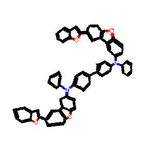 c1ccc(N(c2ccc(-c3ccc(N(c4ccccc4)c4ccc5oc6ccc(-c7cc8ccccc8o7)cc6c5c4)cc3)cc2)c2ccc3oc4ccc(-c5cc6ccccc6o5)cc4c3c2)cc1